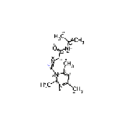 CC1=CC(C)=NC(C)N1/C=N\CC(=O)NC(C)C